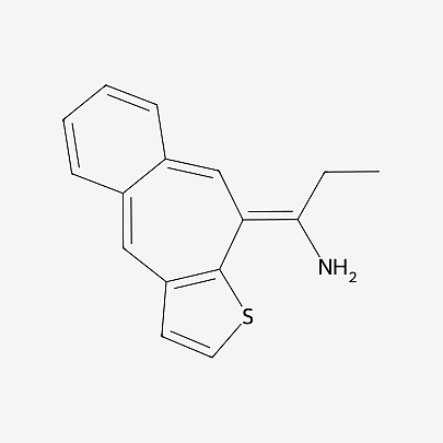 CCC(N)=C1C=c2ccccc2=Cc2ccsc21